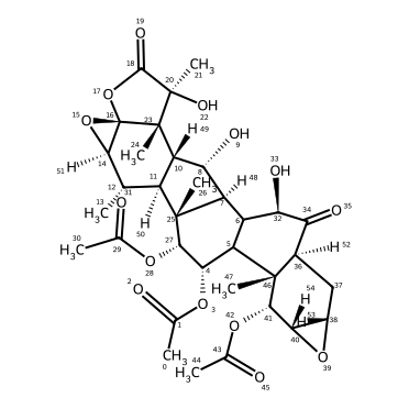 CC(=O)O[C@H]1C2C([C@@H]3[C@@H](O)[C@@H]4[C@H]([C@H](C)[C@H]5O[C@]56OC(=O)[C@@](C)(O)[C@]46C)[C@@]3(C)[C@H]1OC(C)=O)[C@@H](O)C(=O)[C@H]1C[C@@H]3O[C@@H]3[C@H](OC(C)=O)[C@]21C